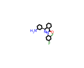 Nc1cccc(-c2nn(-c3ccc(F)cc3F)c(=O)c3ccccc23)c1